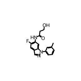 Cc1cccc(-n2ncc3cc(F)c(NC(=O)CCO)cc32)c1